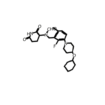 Cc1ccc(N2CCC(OC3CCCCC3)CC2)c(F)c1CN(C=O)C1CCC(=O)NC1=O